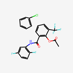 CC(=O)Oc1c(C(=O)Nc2cc(F)ccc2F)cccc1C(F)(F)F.Clc1ccccc1